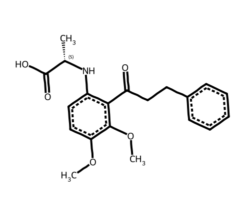 COc1ccc(N[C@@H](C)C(=O)O)c(C(=O)CCc2ccccc2)c1OC